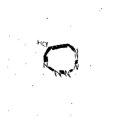 C1=C\N=N/N=N\N=C/1.Cl